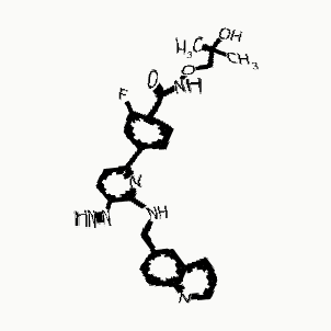 CC(C)(O)CONC(=O)c1ccc(-c2ccc(N=N)c(NCc3ccc4ncccc4c3)n2)cc1F